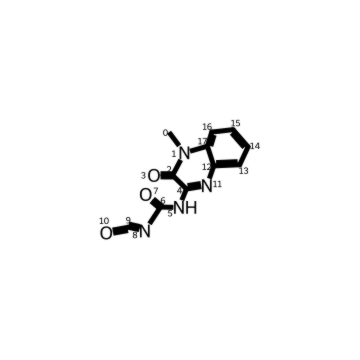 Cn1c(=O)c(NC(=O)N=C=O)nc2ccccc21